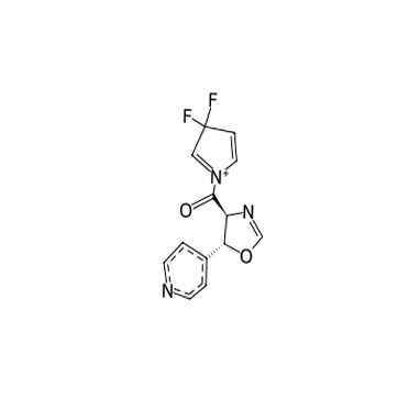 O=C([C@H]1N=CO[C@@H]1c1ccncc1)[N+]1=CC(F)(F)C=C1